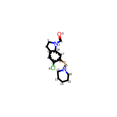 O=CN1CCc2cc(Cl)c(SN3CCCCC3)cc21